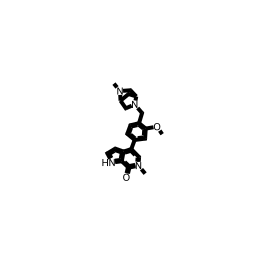 COc1cc(-c2cn(C)c(=O)c3[nH]ccc23)ccc1CN1CC2CC1CN2C